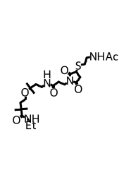 CCNC(=O)C(C)(C)CCOC(C)(C)CCNC(=O)CCN1C(=O)CC(SCCNC(C)=O)C1=O